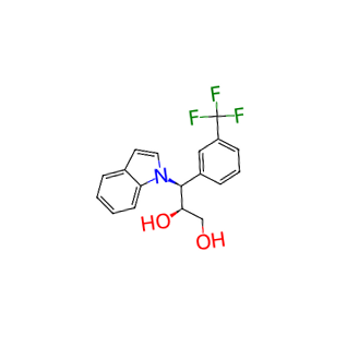 OC[C@@H](O)[C@H](c1cccc(C(F)(F)F)c1)n1ccc2ccccc21